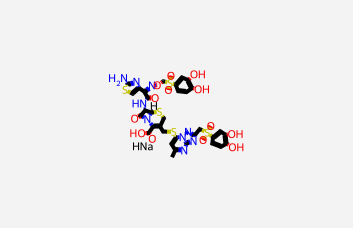 Cc1cc(SCC2=C(C(=O)O)N3C(=O)[C@@H](NC(=O)/C(=N\OCS(=O)(=O)c4ccc(O)c(O)c4)c4csc(N)n4)[C@H]3SC2)n2nc(CS(=O)(=O)c3ccc(O)c(O)c3)nc2n1.[NaH]